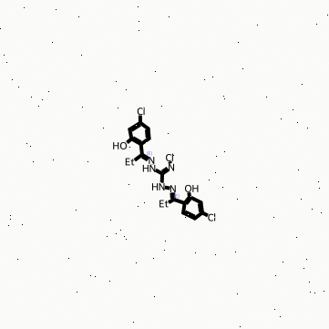 CC/C(=N\NC(=NCl)N/N=C(\CC)c1ccc(Cl)cc1O)c1ccc(Cl)cc1O